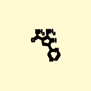 NC(=O)c1cc(-c2cnccn2)[nH]c1N